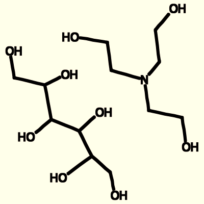 OCC(O)C(O)C(O)C(O)CO.OCCN(CCO)CCO